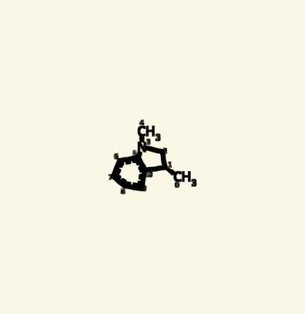 C[C@@H]1CN(C)c2ccccc21